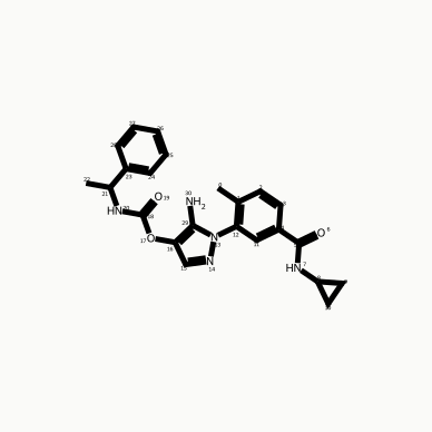 Cc1ccc(C(=O)NC2CC2)cc1-n1ncc(OC(=O)NC(C)c2ccccc2)c1N